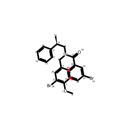 COc1ccc(CN(C[C@H](C)c2ccccc2)C(=O)c2cccc(Br)c2)cc1Br